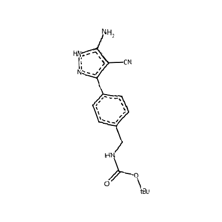 CC(C)(C)OC(=O)NCc1ccc(-c2n[nH]c(N)c2C#N)cc1